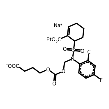 CCOC(=O)C1=CCCCC1S(=O)(=O)N(COC(=O)OCCCC(=O)[O-])c1ccc(F)cc1Cl.[Na+]